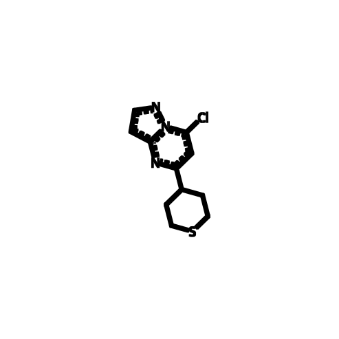 Clc1cc(C2CCSCC2)nc2ccnn12